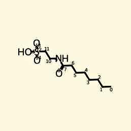 CCCCCCCC(=O)NCCS(=O)(=O)O